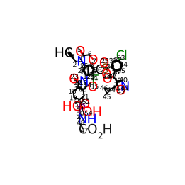 C#CCN1C(=O)COc2cc(F)c(N3C(=O)C4=C(CCCC4)C3=O)cc21.CS(=O)(=O)c1cc(Cl)ccc1C(=O)c1cnoc1C1CC1.O=C(O)CNCP(=O)(O)O